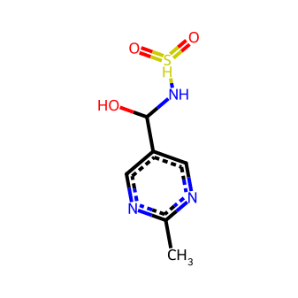 Cc1ncc(C(O)N[SH](=O)=O)cn1